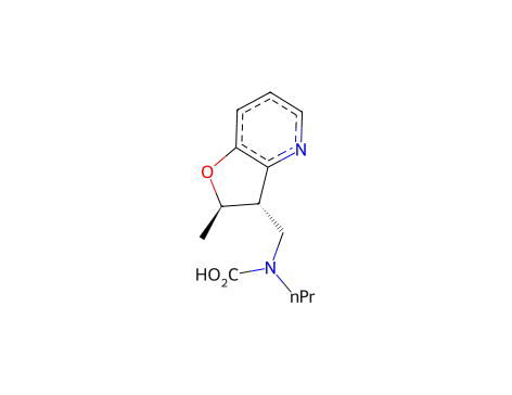 CCCN(C[C@H]1c2ncccc2O[C@@H]1C)C(=O)O